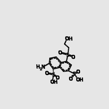 Nc1ccc2c(S(=O)(=O)CCO)cc(S(=O)(=O)O)cc2c1S(=O)(=O)O